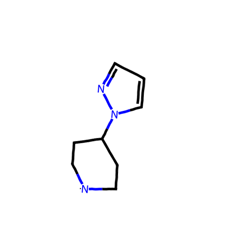 c1cnn(C2CC[N]CC2)c1